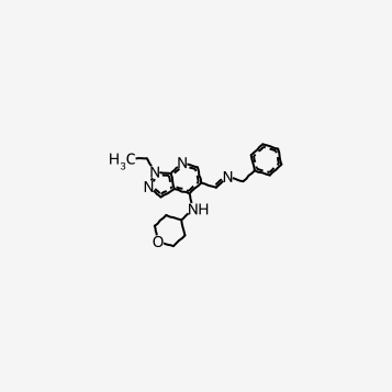 CCn1ncc2c(NC3CCOCC3)c(/C=N/Cc3ccccc3)cnc21